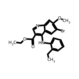 CCOC(=O)c1cnc2cc(OC)c(Br)cc2c1Nc1ccccc1CC